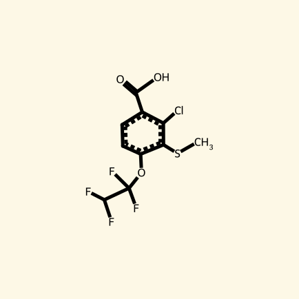 CSc1c(OC(F)(F)C(F)F)ccc(C(=O)O)c1Cl